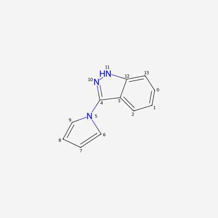 c1ccc2c(-n3cccc3)n[nH]c2c1